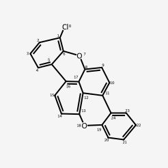 Clc1cccc2c1Oc1ccc3c4c(ccc-2c14)Oc1ccccc1-3